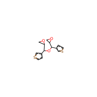 c1cc(C(OC(c2ccsc2)C2CO2)C2CO2)cs1